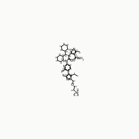 CCc1c(-c2ccc(NC(=O)[C@H](c3onc(C)c3C(N)=O)C(C3CCCCC3)C3CCCCC3)nc2F)c(C)nn1COCC[Si](C)(C)C